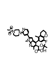 Cc1nc2c(cc(-c3ccnc(N4CCCN(S(C)(=O)=O)CC4)c3)n2C)c(-c2cc(F)c3c(c2C)CCCO3)c1[C@H](OC(C)(C)C)C(=O)O